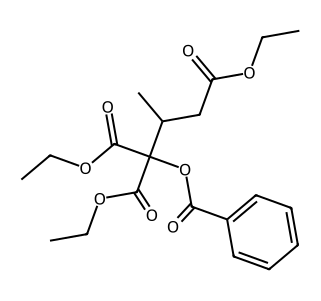 CCOC(=O)CC(C)C(OC(=O)c1ccccc1)(C(=O)OCC)C(=O)OCC